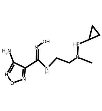 CN(CCN/C(=N\O)c1nonc1N)PC1CC1